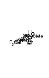 COC(=O)[C@H]1Cc2c3n(c4ccccc24)/C=C\C(=N/Nc2ccc(C(F)(F)F)cc2)CCCC[C@@H]3N1